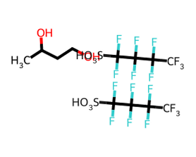 CC(O)CCO.O=S(=O)(O)C(F)(F)C(F)(F)C(F)(F)C(F)(F)F.O=S(=O)(O)C(F)(F)C(F)(F)C(F)(F)C(F)(F)F